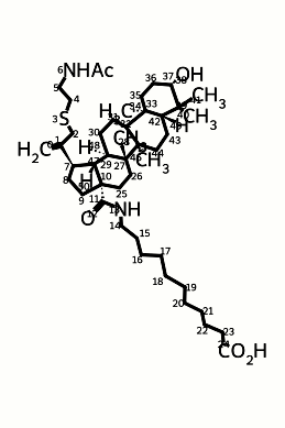 C=C(CSCCNC(C)=O)[C@@H]1CC[C@]2(C(=O)NCCCCCCCCCCC(=O)O)CC[C@]3(C)[C@H](CCC4[C@@]5(C)CC[C@H](O)C(C)(C)[C@@H]5CC[C@]43C)[C@@H]12